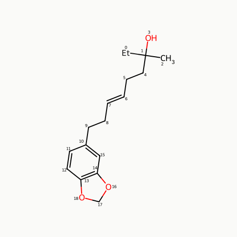 CCC(C)(O)CCC=CCCc1ccc2c(c1)OCO2